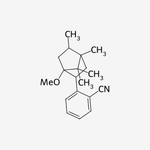 COC12CC(C)C(C)(CC1c1ccccc1C#N)C2(C)C